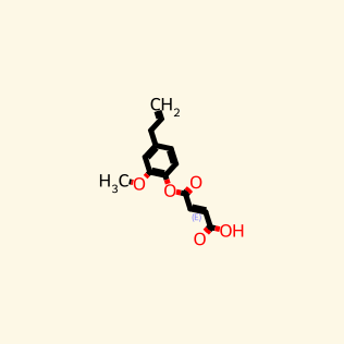 C=CCc1ccc(OC(=O)/C=C/C(=O)O)c(OC)c1